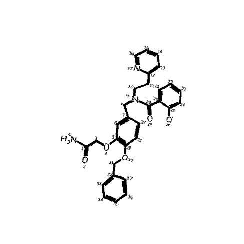 NC(=O)COc1cc(CN(CCc2ccccn2)C(=O)c2ccccc2Cl)ccc1OCc1ccccc1